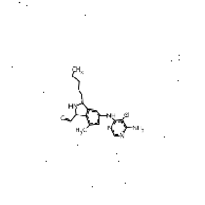 CCCCCC1NC(C=O)c2c(C)cc(Nc3ncnc(N)c3Cl)cc21